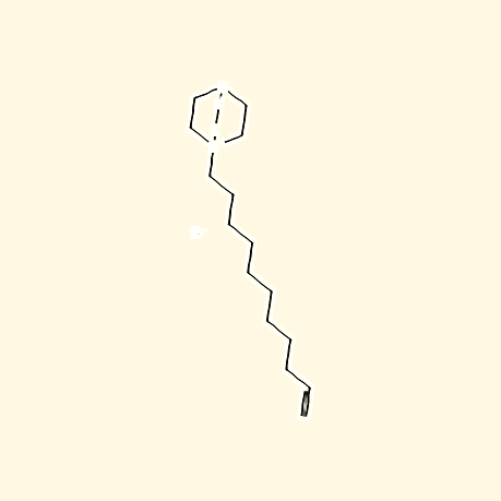 C=CCCCCCCCCC[N+]12CCN(CC1)CC2.[Br-]